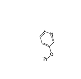 CC(C)Oc1cc[c]nc1